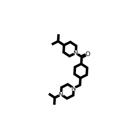 CC(C)C1CCN(C(=O)C2CCC(CN3CCN(C(C)C)CC3)CC2)CC1